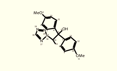 COc1ccc(C(O)(c2ccc(OC)cc2)C(C)n2ncnn2)cc1